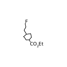 CCOC(=O)C1CCC(CCCF)CC1